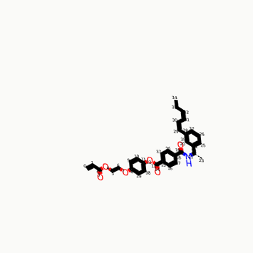 C=CC(=O)OCCOc1ccc(OC(=O)c2ccc(C(=O)N[C@@H](C)c3cccc(/C=C\C=C/CC)c3)cc2)cc1